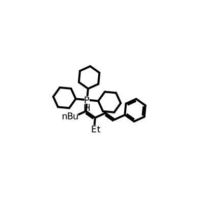 CCCC/C(=C(/C=C/c1ccccc1)CC)[PH](C1CCCCC1)(C1CCCCC1)C1CCCCC1